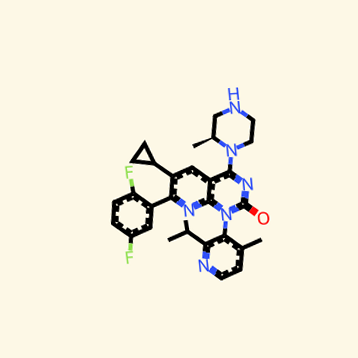 Cc1ccnc(C(C)C)c1-n1c(=O)nc(N2CCNC[C@@H]2C)c2cc(C3CC3)c(-c3cc(F)ccc3F)nc21